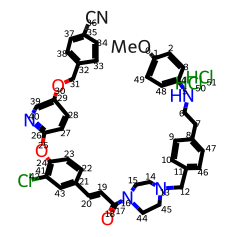 COc1ccc(NCCc2ccc(CN3CCN(C(=O)C=Cc4ccc(Oc5ccc(OCc6ccc(C#N)cc6)cn5)c(Cl)c4)CC3)cc2)cc1.Cl.Cl